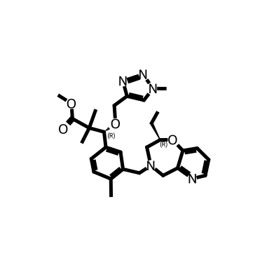 CC[C@@H]1CN(Cc2cc([C@@H](OCc3cn(C)nn3)C(C)(C)C(=O)OC)ccc2C)Cc2ncccc2O1